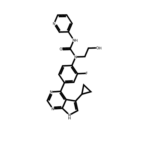 O=C(Nc1cccnc1)N(CCO)c1ccc(-c2ncnc3[nH]cc(C4CC4)c23)cc1F